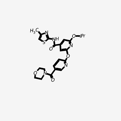 Cc1csc(NC(=O)c2cc(Oc3ccc(C(=O)N4CCOCC4)cn3)nc(OC(C)C)c2)n1